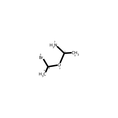 CC(N)OC(C)Br